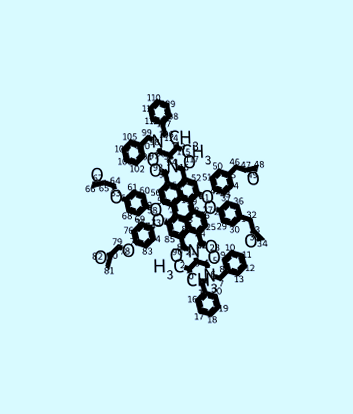 CC(C)C(C(=O)N(Cc1ccccc1)Cc1ccccc1)N1C(=O)c2cc(Oc3ccc(CC4CO4)cc3)c3c4c(Oc5ccc(CC6CO6)cc5)cc5c6c(cc(Oc7ccc(OCC8CO8)cc7)c(c7c(Oc8ccc(OCC9CO9)cc8)cc(c2c37)C1=O)c64)C(=O)N(C(C(=O)N(Cc1ccccc1)Cc1ccccc1)C(C)C)C5=O